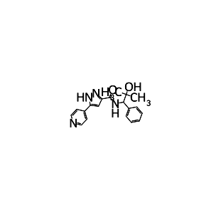 CC(C)(O)C(NC(=O)c1cc(-c2ccncc2)[nH]n1)c1ccccc1